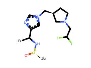 CC(C)C(N[S@@+]([O-])C(C)(C)C)c1cn(C[C@H]2CCN(CC(F)F)C2)cn1